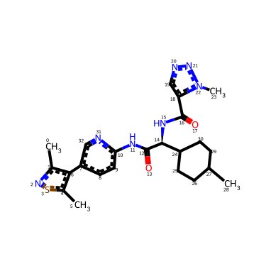 Cc1nsc(C)c1-c1ccc(NC(=O)[C@@H](NC(=O)c2cnnn2C)C2CCC(C)CC2)nc1